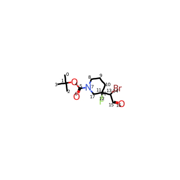 CC(C)(C)OC(=O)N1CCC[C@](F)(C(Br)C=O)C1